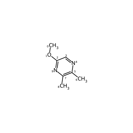 COc1cnc(C)c(C)n1